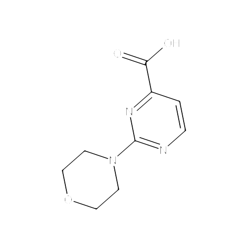 O=C(O)c1ccnc(N2CCOCC2)n1